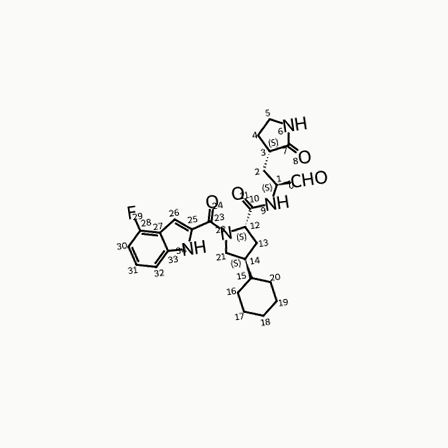 O=C[C@H](C[C@@H]1CCNC1=O)NC(=O)[C@@H]1C[C@@H](C2CCCCC2)CN1C(=O)c1cc2c(F)cccc2[nH]1